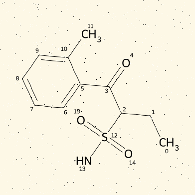 CCC(C(=O)c1ccccc1C)S([NH])(=O)=O